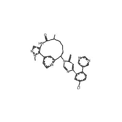 C=C1C=C(c2cc(Cl)ccc2-c2cncnc2)N=CN1C1CCCC(C)C(=O)Nc2cnn(C)c2-c2ccnc1c2